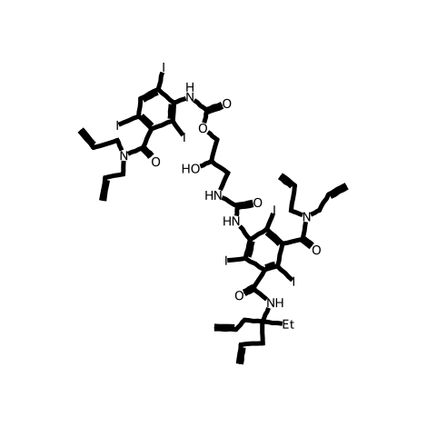 C=CCN(CC=C)C(=O)c1c(I)cc(I)c(NC(=O)OCC(O)CNC(=O)Nc2c(I)c(C(=O)NC(CC)(CC=C)CC=C)c(I)c(C(=O)N(CC=C)CC=C)c2I)c1I